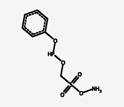 NOS(=O)(=O)COPOc1ccccc1